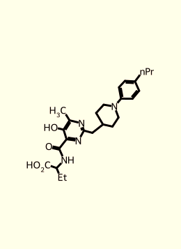 CCCc1ccc(N2CCC(Cc3nc(C)c(O)c(C(=O)NC(CC)C(=O)O)n3)CC2)cc1